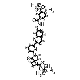 Cc1ccc(C(=O)NCc2cc3nc(-c4cccc(N5CCC6(CCN6C(=O)OC(C)(C)C)C5=O)n4)ccc3cn2)cc1S(C)(=O)=O